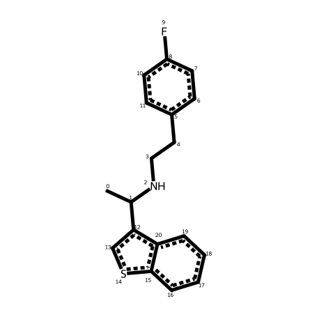 CC(NCCc1ccc(F)cc1)c1csc2ccccc12